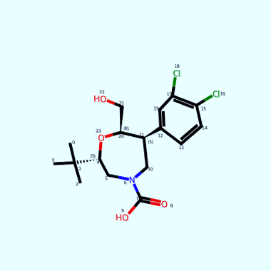 CC(C)(C)[C@H]1CN(C(=O)O)C[C@H](c2ccc(Cl)c(Cl)c2)[C@H](CO)O1